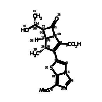 CSc1ncn2cc(C3=C(C(=O)O)N4C(=O)[C@H]([C@@H](C)O)[C@@H]4[C@H]3C)sc12